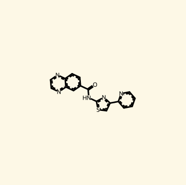 O=C(Nc1nc(-c2ccccn2)cs1)c1ccc2nccnc2c1